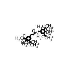 CC(C)(C)c1cc(CCC(=O)NCc2cc(C(C)(C)C)c(O)c(C(C)(C)C)c2)cc(C(C)(C)C)c1O